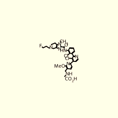 COc1nc(-c2ccnc(-c3cccc(NC(=O)c4nc5c(n4C)CCN(CCCF)C5)c3Cl)c2Cl)ccc1CNCC(=O)O